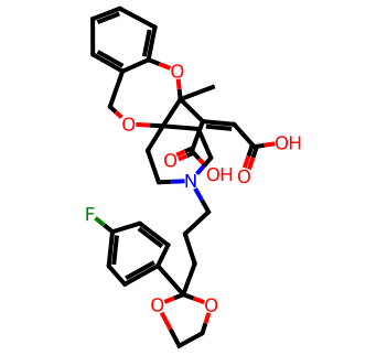 CC1(/C(=C/C(=O)O)C(=O)O)Oc2ccccc2COC12CCN(CCCC1(c3ccc(F)cc3)OCCO1)CC2